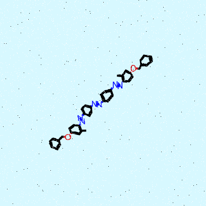 Cc1cc(OCc2ccccc2)ccc1N=Nc1ccc(N=Nc2ccc(N=Nc3ccc(OCc4ccccc4)cc3C)cc2)cc1